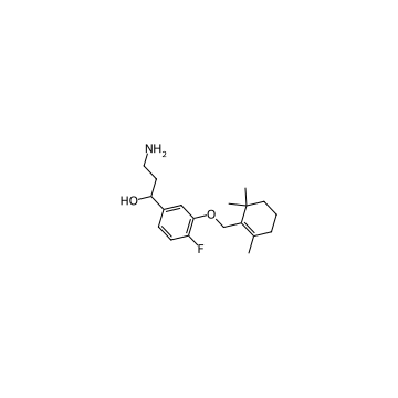 CC1=C(COc2cc(C(O)CCN)ccc2F)C(C)(C)CCC1